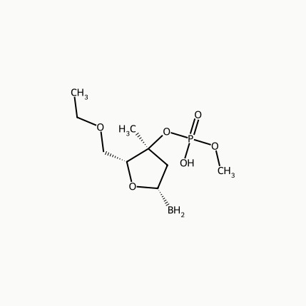 B[C@H]1C[C@](C)(OP(=O)(O)OC)[C@@H](COCC)O1